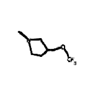 CN1[CH]CC(OC(F)(F)F)C1